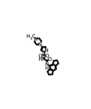 CN1CCN(c2cnn(S(=O)(=O)NC(=O)Nc3c4c(cc5c3CCC5)CCC4)c2)CC1